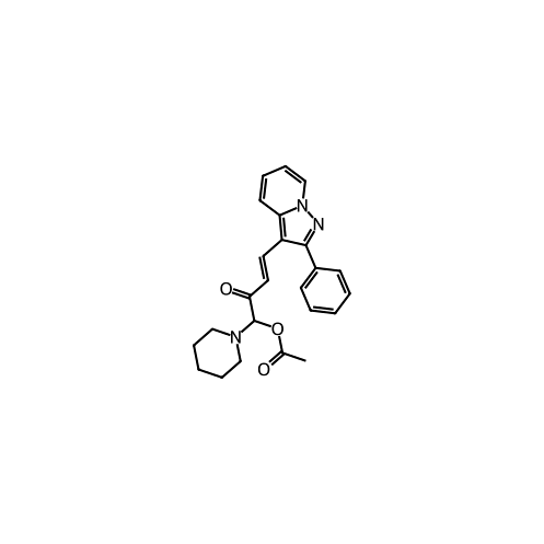 CC(=O)OC(C(=O)C=Cc1c(-c2ccccc2)nn2ccccc12)N1CCCCC1